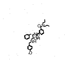 CCCN(CCC)C(=O)c1cccc(C(=O)N[C@@H](Cc2ccccc2)[C@H](O)CNCc2ccc(OC)cc2)c1